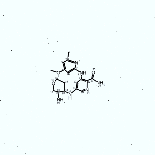 COc1cc(C)nc(Nc2cc(N[C@@H]3CCOC[C@@H]3N)cnc2C(N)=O)c1